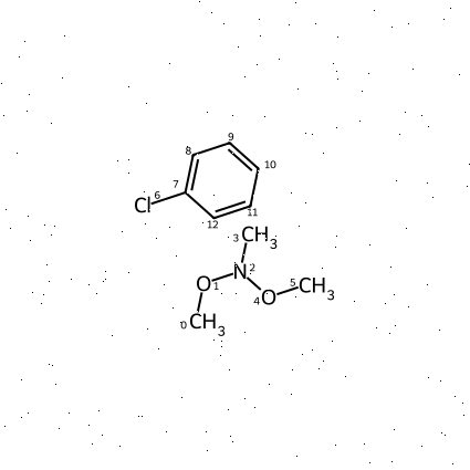 CON(C)OC.Clc1ccccc1